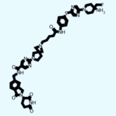 NC1(CF)CCN(c2cnc(Sc3ccc(NC(=O)CCCCN4CC5(CCN(c6ncc(C(=O)NCc7ccc8c(c7)CN(C7CCC(=O)NC7=O)C8=O)cn6)C5)C4)cc3)cn2)CC1